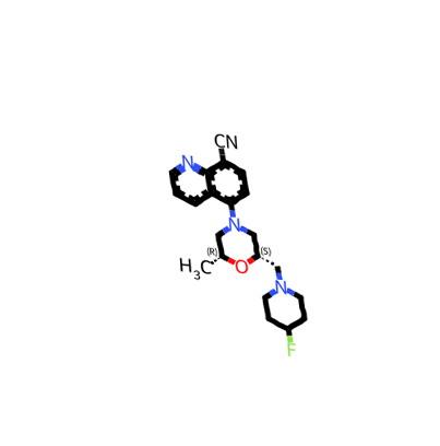 C[C@@H]1CN(c2ccc(C#N)c3ncccc23)C[C@H](CN2CCC(F)CC2)O1